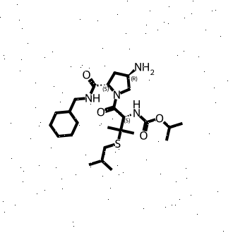 CC(C)CSC(C)(C)[C@@H](NC(=O)OC(C)C)C(=O)N1C[C@H](N)C[C@H]1C(=O)NCC1CCCCC1